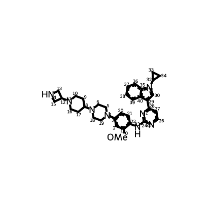 COc1cc(N2CCN(C3CCN(C4CNC4)CC3)CC2)ccc1Nc1nccc(-c2cn(C3CC3)c3ccccc23)n1